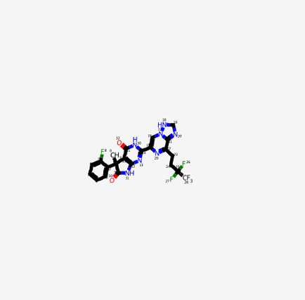 CC1(c2ccccc2F)C(=O)Nc2nc(C3=CN4NCN=C4C(CCC(F)(F)C(F)(F)F)=N3)[nH]c(=O)c21